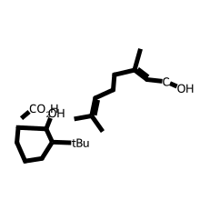 CC(=O)O.CC(C)(C)C1CCCCC1O.CC(C)=CCCC(C)=CCO